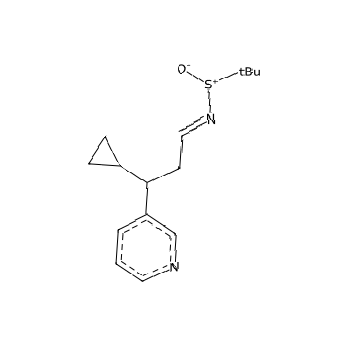 CC(C)(C)[S+]([O-])N=CCC(c1cccnc1)C1CC1